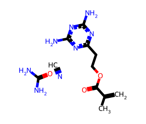 C#N.C=C(C)C(=O)OCCc1nc(N)nc(N)n1.NC(N)=O